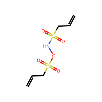 C=CCS(=O)(=O)NOS(=O)(=O)CC=C